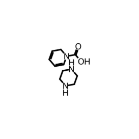 C1CNCCN1.O=C(O)N1C=CC=CC1